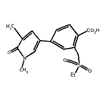 CCS(=O)(=O)Cc1cc(-c2cc(C)c(=O)n(C)c2)ccc1C(=O)O